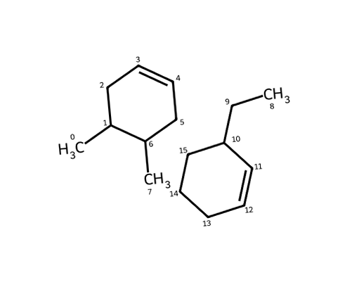 CC1CC=CCC1C.CCC1C=CCCC1